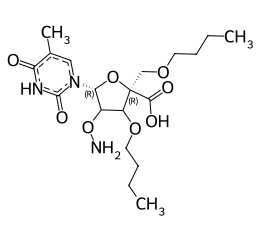 CCCCOC[C@@]1(C(=O)O)O[C@@H](n2cc(C)c(=O)[nH]c2=O)C(ON)C1OCCCC